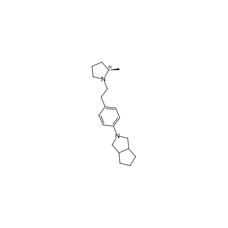 C[C@@H]1CCCN1CCc1ccc(N2CC3CCCC3C2)cc1